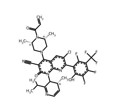 C=CC(=O)N1[C@H](C)CN(c2c(C#N)c(=O)n(C3C(C(C)C)=NC=C[C@H]3C)c3nc(-c4c(O)c(F)c(F)c(C(F)(F)F)c4F)c(Cl)cc23)C[C@@H]1C